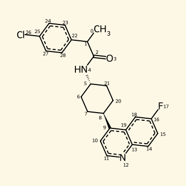 CC(C(=O)N[C@H]1CC[C@H](c2ccnc3ccc(F)cc32)CC1)c1ccc(Cl)cc1